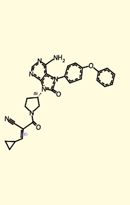 N#C/C(=C\C1CC1)C(=O)N1CC[C@H](n2c(=O)n(-c3ccc(Oc4ccccc4)cc3)c3c(N)ncnc32)C1